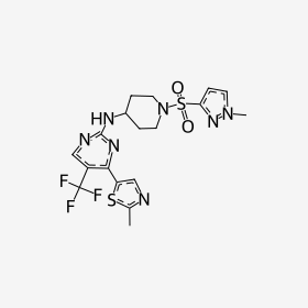 Cc1ncc(-c2nc(NC3CCN(S(=O)(=O)c4ccn(C)n4)CC3)ncc2C(F)(F)F)s1